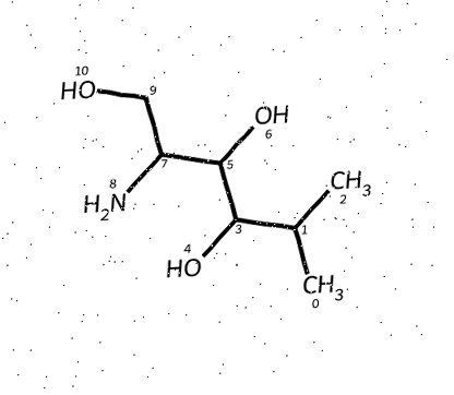 CC(C)C(O)C(O)C(N)CO